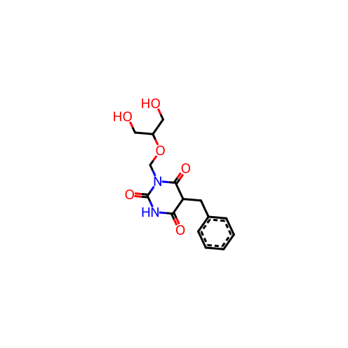 O=C1NC(=O)N(COC(CO)CO)C(=O)C1Cc1ccccc1